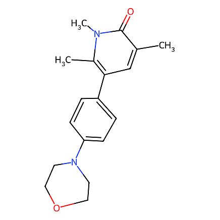 Cc1cc(-c2ccc(N3CCOCC3)cc2)c(C)n(C)c1=O